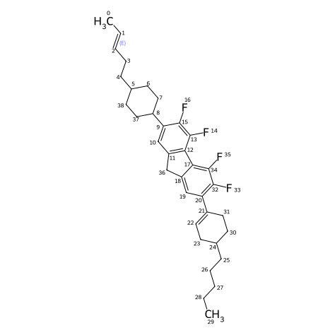 C/C=C/CCC1CCC(c2cc3c(c(F)c2F)-c2c(cc(C4=CCC(CCCCC)CC4)c(F)c2F)C3)CC1